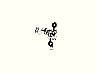 CC(C)(C)OC(=O)Cn1c(-c2ccccc2)ncc(NC(=O)c2ccc(Cl)cc2)c1=O